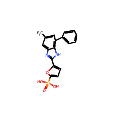 O=P(O)(O)c1ccc(-c2nc3cc(C(F)(F)F)cc(-c4ccccc4)c3[nH]2)o1